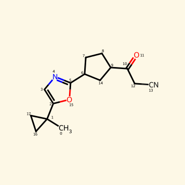 CC1(c2cnc(C3CCC(C(=O)CC#N)C3)o2)CC1